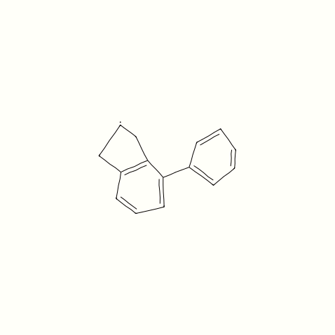 [CH]1Cc2cccc(-c3ccccc3)c2C1